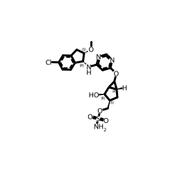 CO[C@H]1Cc2cc(Cl)ccc2[C@H]1Nc1cc(OC2C3[C@H]2C[C@@H](COS(N)(=O)=O)[C@H]3O)ncn1